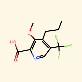 CCCc1c(C(F)(F)F)cnc(C(=O)O)c1OC